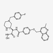 Cc1cc(COc2ccc(C(=O)NC(C(=O)NO)[C@@H]3CN(Cc4ccc(F)cc4)CCN3)cc2)c2ccccc2n1